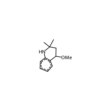 COC1CC(C)(C)Nc2ccccc21